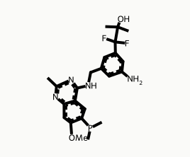 COc1cc2nc(C)nc(NCc3cc(N)cc(C(F)(F)C(C)(C)O)c3)c2cc1P(C)C